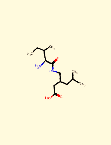 CCC(C)[C@H](N)C(=O)NCC(CC(=O)O)CC(C)C